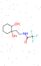 O=C(NCCC1(O)CCCCC1O)C(F)(F)F